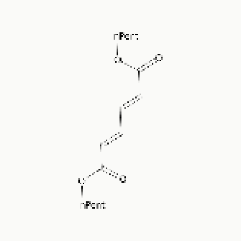 CCCCCOC(=O)C=CC=CC(=O)OCCCCC